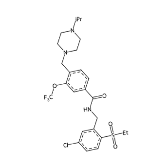 CCS(=O)(=O)c1ccc(Cl)cc1CNC(=O)c1ccc(CN2CCN(C(C)C)CC2)c(OC(F)(F)F)c1